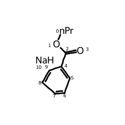 CCCOC(=O)c1ccccc1.[NaH]